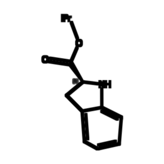 CC(C)OC(=O)[C@@H]1Cc2ccccc2N1